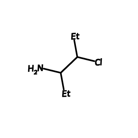 CCC(N)C(Cl)CC